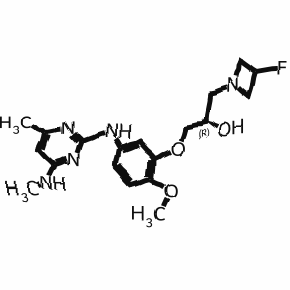 CNc1cc(C)nc(Nc2ccc(OC)c(OC[C@H](O)CN3CC(F)C3)c2)n1